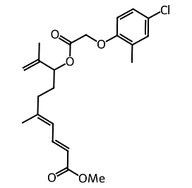 C=C(C)C(CCC(C)=CC=CC(=O)OC)OC(=O)COc1ccc(Cl)cc1C